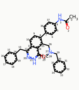 CC(=O)Nc1ccc(-c2ccc3c(Cc4ccccc4)n[nH]c(=O)c3c2CN(C)Cc2ccccc2)cc1